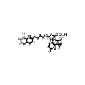 Cc1cccc(C2(C(=O)N[C@@H](CCOCCCCc3ccc4c(n3)NCCC4)C(=O)O)CC2)n1